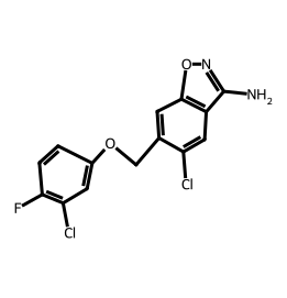 Nc1noc2cc(COc3ccc(F)c(Cl)c3)c(Cl)cc12